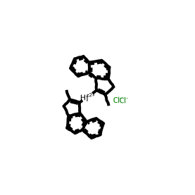 CC1=[C]([Hf+2][C]2=C(C)Cc3ccc4ccccc4c32)c2c(ccc3ccccc23)C1.[Cl-].[Cl-]